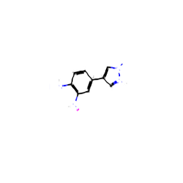 Cn1cc(-c2ccc(N)c(N=O)c2)cn1